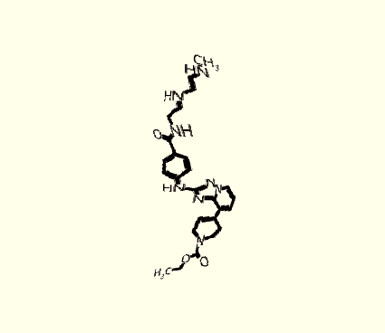 CCOC(=O)N1CC=C(c2cccn3nc(Nc4ccc(C(=O)NCCNCCNC)cc4)nc23)CC1